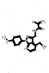 C=C(Cl)C(=O)NCc1nn(-c2ccc(OC(F)(F)F)cc2)c2nccc(CO)c12